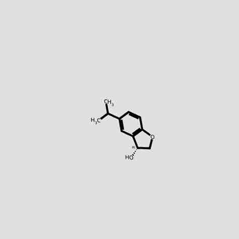 CC(C)c1ccc2c(c1)[C@@H](O)CO2